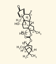 C[C@@H]1[C@H]2C[C@@H](C[C@H]1OC(=O)O[C@]1(C(=O)O)[C@H](C)C[C@H]3[C@@H]4C[C@H](F)C5=CC(=O)C=C[C@]5(C)[C@@]4(F)[C@@H](O)C[C@@]31C)C2(C)C